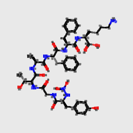 C[C@H](NC(=O)[C@@H](NC(=O)CNC(=O)[C@H](Cc1ccc(O)cc1)N[N+](=O)[O-])[C@@H](C)O)C(=O)N[C@@H](Cc1ccccc1)C(=O)N[C@@H](Cc1ccccc1)C(=O)N[C@@H](CCCCN)C(=O)O